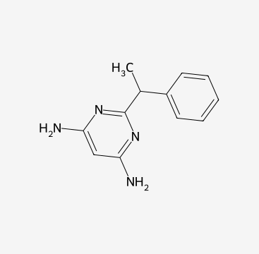 CC(c1ccccc1)c1nc(N)cc(N)n1